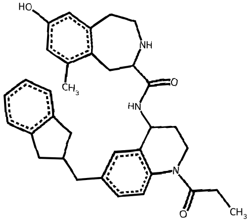 CCC(=O)N1CCC(NC(=O)C2Cc3c(C)cc(O)cc3CCN2)c2cc(CC3Cc4ccccc4C3)ccc21